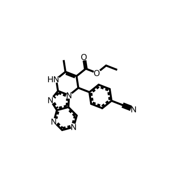 CCOC(=O)C1=C(C)Nc2nc3ncncc3n2C1c1ccc(C#N)cc1